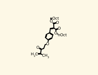 C=C(C)C(=O)CCOc1ccc(C=C(C(=O)OCCCCCCCC)C(=O)OCCCCCCCC)cc1